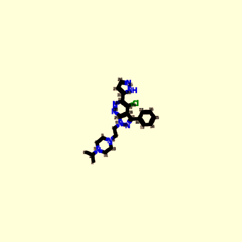 CC(C)N1CCN(CCn2nc(-c3ccccc3)c3c(Cl)c(-c4ccn[nH]4)nnc32)CC1